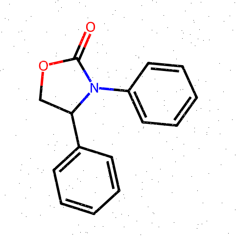 O=C1OCC(c2ccccc2)N1c1ccccc1